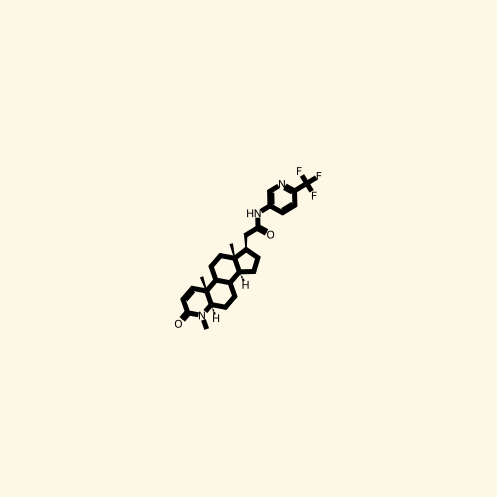 CN1C(=O)C=C[C@]2(C)C3CC[C@]4(C)[C@@H](CC(=O)Nc5ccc(C(F)(F)F)nc5)CC[C@H]4C3CC[C@@H]12